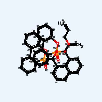 C=CCOC(c1cccc2cccc(C(OCC=C)P3(=O)Oc4ccccc4-c4ccccc43)c12)P1(=O)Oc2ccccc2-c2ccccc21